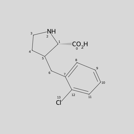 O=C(O)[C@H]1NCCC1Cc1ccccc1Cl